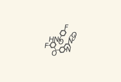 O=C(Nc1cc(F)cc(C(=O)c2ccc3ncc(N4CCOCC4)cc3c2)c1)c1ccc(F)cc1